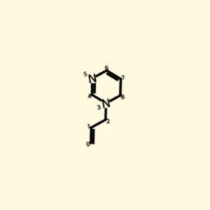 C=CCN1C=NC=CC1